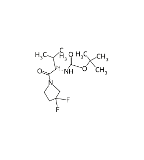 CC(C)[C@H](NC(=O)OC(C)(C)C)C(=O)N1CCC(F)(F)C1